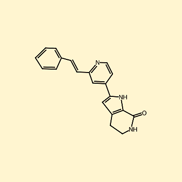 O=C1NCCc2cc(-c3ccnc(C=Cc4ccccc4)c3)[nH]c21